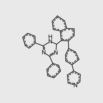 c1ccc(C2=NC(c3c(-c4ccc(-c5ccncc5)cc4)ccc4ccccc34)NC(c3ccccc3)=N2)cc1